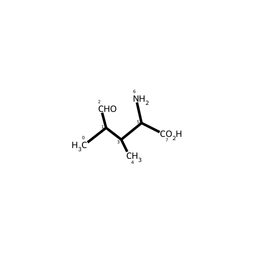 CC(C=O)C(C)C(N)C(=O)O